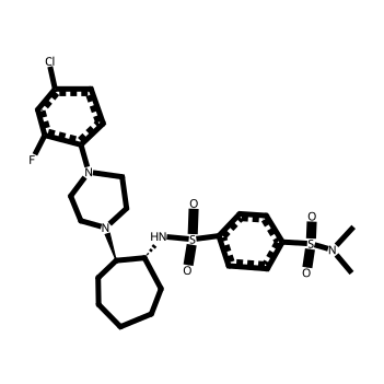 CN(C)S(=O)(=O)c1ccc(S(=O)(=O)N[C@@H]2CCCCC[C@H]2N2CCN(c3ccc(Cl)cc3F)CC2)cc1